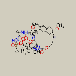 COc1cc2ccc3cc2cc1/C=C\CCOC(=O)N[C@@H](C(C)(C)C)C(=O)N1C[C@@]3(OC)C[C@H]1C(=O)NC1(C(=O)NS(=O)(=O)C2CC2)CC1